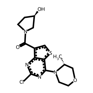 C[C@@H]1COCCN1c1nc(Cl)nc2c(C(=O)N3CC[C@@H](O)C3)csc12